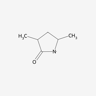 CC1CC(C)C(=O)[N]1